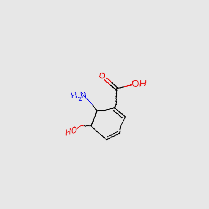 NC1C(C(=O)O)=CC=CC1O